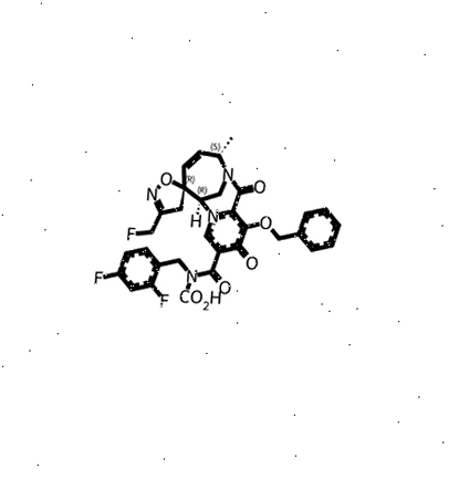 C[C@H]1C=C[C@]2(CC(CF)=NO2)[C@H]2CN1C(=O)c1c(OCc3ccccc3)c(=O)c(C(=O)N(Cc3ccc(F)cc3F)C(=O)O)cn12